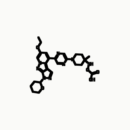 CCOc1cc(-c2cnc(N3CCC(C)(NOC(=O)O)CC3)cn2)c2c3cnn(C4CCCCO4)c3nn2c1